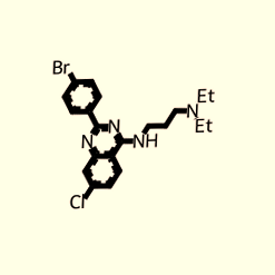 CCN(CC)CCCNc1nc(-c2ccc(Br)cc2)nc2cc(Cl)ccc12